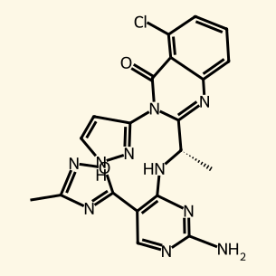 Cc1noc(-c2cnc(N)nc2N[C@@H](C)c2nc3cccc(Cl)c3c(=O)n2-c2cc[nH]n2)n1